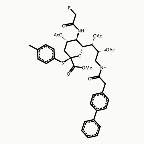 COC(=O)[C@]1(Sc2ccc(C)cc2)C[C@H](OC(C)=O)[C@@H](NC(=O)CF)[C@H]([C@H](OC(C)=O)[C@@H](CNC(=O)Cc2ccc(-c3ccccc3)cc2)OC(C)=O)O1